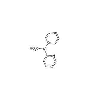 O=C(O)N(c1ccccc1)c1ccccn1